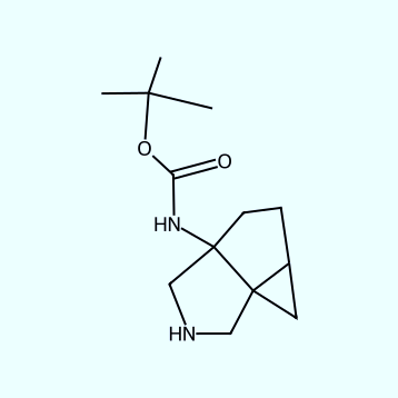 CC(C)(C)OC(=O)NC12CCC3CC31CNC2